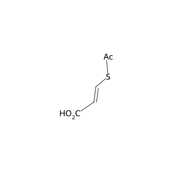 CC(=O)SC=CC(=O)O